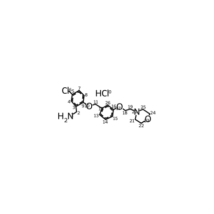 Cl.NCc1cc(Cl)ccc1OCc1cccc(OCCN2CCOCC2)c1